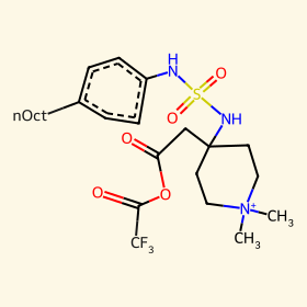 CCCCCCCCc1ccc(NS(=O)(=O)NC2(CC(=O)OC(=O)C(F)(F)F)CC[N+](C)(C)CC2)cc1